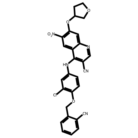 N#Cc1ccccc1COc1ccc(Nc2c(C#N)cnc3cc(OC4CCOC4)c([N+](=O)[O-])cc23)cc1Cl